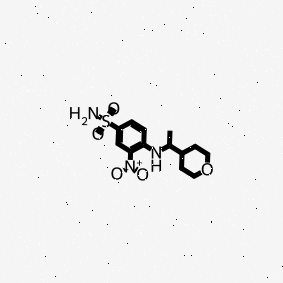 CC(Nc1ccc(S(N)(=O)=O)cc1[N+](=O)[O-])C1CCOCC1